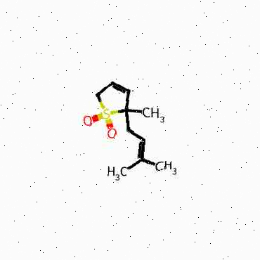 CC(C)=CCC1(C)[C]=CCS1(=O)=O